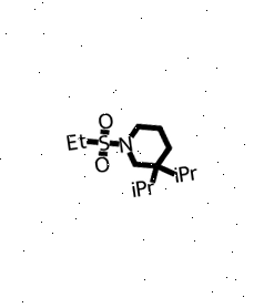 CCS(=O)(=O)N1CCCC(C(C)C)(C(C)C)C1